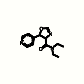 CCN(CC)C(=O)C1N=COC1c1ccncc1